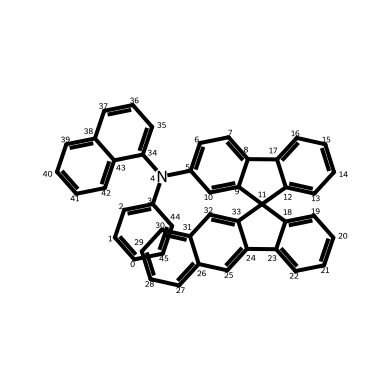 c1ccc(N(c2ccc3c(c2)C2(c4ccccc4-3)c3ccccc3-c3cc4ccccc4cc32)c2cccc3ccccc23)cc1